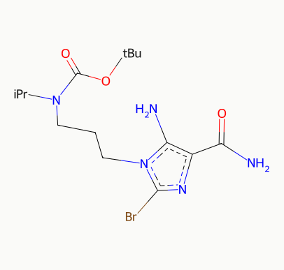 CC(C)N(CCCn1c(Br)nc(C(N)=O)c1N)C(=O)OC(C)(C)C